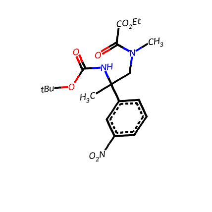 CCOC(=O)C(=O)N(C)CC(C)(NC(=O)OC(C)(C)C)c1cccc([N+](=O)[O-])c1